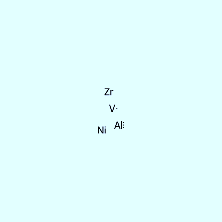 [Al].[Ni].[V].[Zr]